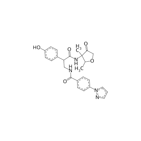 CC1OCC(=O)C1(C)NC(=O)C(CNC(=O)c1ccc(-n2cccn2)cc1)c1ccc(O)cc1